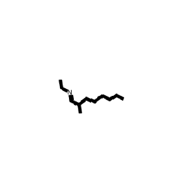 CCCCCCC(C)/C=N/CC